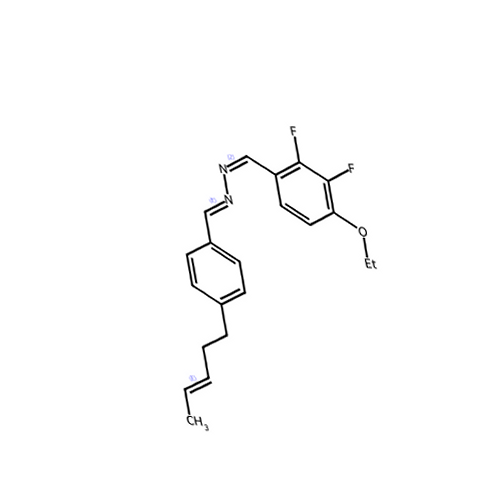 C/C=C/CCc1ccc(/C=N/N=C\c2ccc(OCC)c(F)c2F)cc1